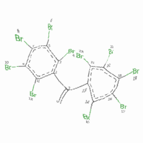 C=C(c1c(Br)c(Br)c(Br)c(Br)c1Br)c1c(Br)c(Br)c(Br)c(Br)c1Br